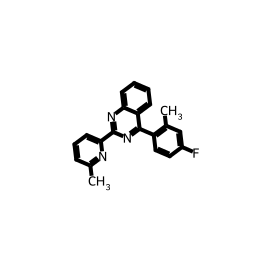 Cc1cccc(-c2nc(-c3ccc(F)cc3C)c3ccccc3n2)n1